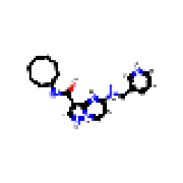 O=C(NC1CCCCCCC1)c1cnn2ccc(NCc3cccnc3)nc12